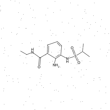 CCNC(=O)c1cccc(NS(=O)(=O)C(C)C)c1N